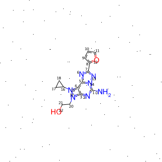 Nc1nc2c(c3nc(-c4ccco4)nn13)n(C1CC1)n2CCO